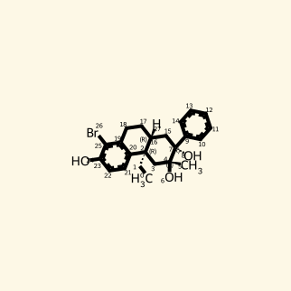 CC[C@@]12C[C@@](C)(O)[C@](O)(c3ccccc3)C[C@H]1CCc1c2ccc(O)c1Br